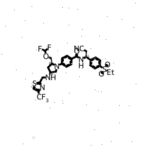 CCS(=O)(=O)c1ccc([C@H](CC#N)NC(=O)c2ccc(N3C[C@@H](NCc4nc(C(F)(F)F)cs4)C[C@H]3COC(F)F)cc2)cc1